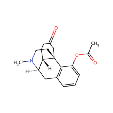 CC(=O)Oc1cccc2c1[C@]13CCN(C)[C@H](C2)[C@@H]1CCC(=O)C3